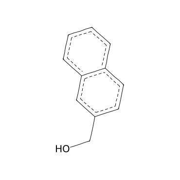 OCc1ccc2ccccc2c1